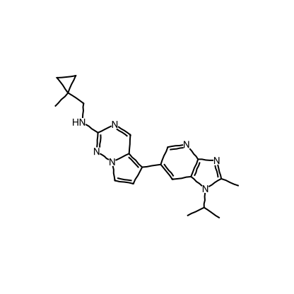 Cc1nc2ncc(-c3ccn4nc(NCC5(C)CC5)ncc34)cc2n1C(C)C